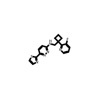 Fc1cccnc1C1(CNc2ccc(-c3nccs3)nn2)CCC1